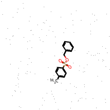 Cc1ccc(S(=O)(=O)OCc2ccccc2)cc1